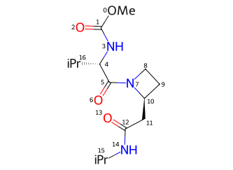 COC(=O)N[C@H](C(=O)N1CC[C@H]1CC(=O)NC(C)C)C(C)C